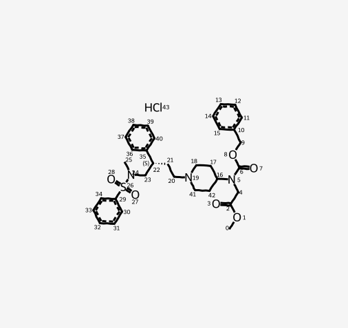 COC(=O)CN(C(=O)OCc1ccccc1)C1CCN(CC[C@H](CN(C)S(=O)(=O)c2ccccc2)c2ccccc2)CC1.Cl